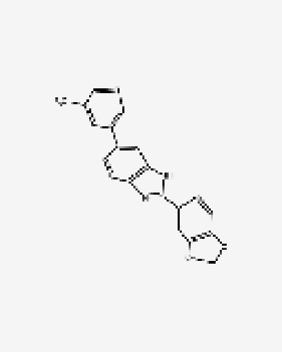 FC(F)(F)c1cccc(-c2cnc3nc(-c4ccc5c(c4)OCO5)[nH]c3c2)c1